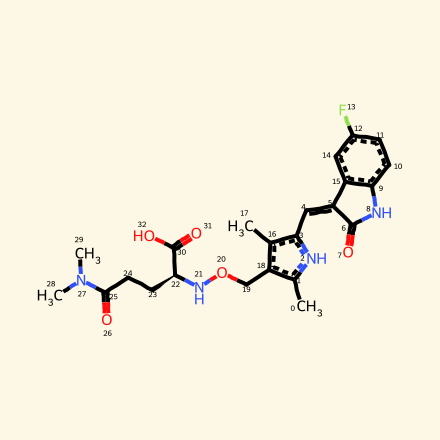 Cc1[nH]c(/C=C2\C(=O)Nc3ccc(F)cc32)c(C)c1CON[C@@H](CCC(=O)N(C)C)C(=O)O